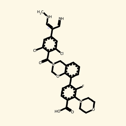 CN/C=C(\C=N)c1cc(Cl)c(C(=O)N2COc3c(cccc3-c3ccc(C(=O)O)c(N4CCOCC4)c3F)C2)c(Cl)c1